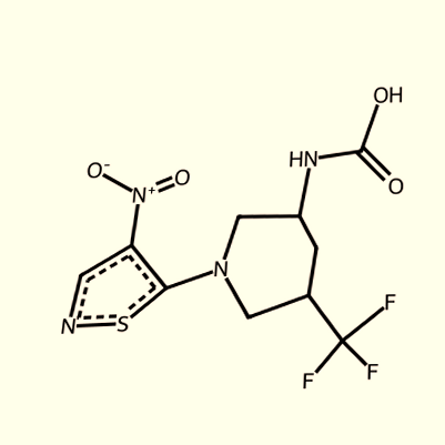 O=C(O)NC1CC(C(F)(F)F)CN(c2sncc2[N+](=O)[O-])C1